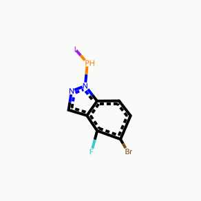 Fc1c(Br)ccc2c1cnn2PI